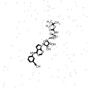 C#Cc1cccc(Nc2ncnc3c2ccn3[C@@H]2O[C@H](CNS(=O)(=O)NC(=O)OC(C)(C)C)[C@@H](O)[C@H]2O)c1